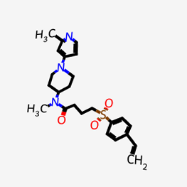 C=Cc1ccc(S(=O)(=O)CCCC(=O)N(C)C2CCN(c3ccnc(C)c3)CC2)cc1